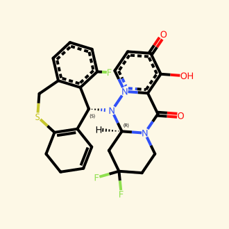 O=C1c2c(O)c(=O)ccn2N([C@@H]2C3=C(CCC=C3)SCc3cccc(F)c32)[C@@H]2CC(F)(F)CCN12